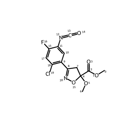 COC(=O)C1(OC)CC(c2cc(N=C=O)c(F)cc2Cl)=NO1